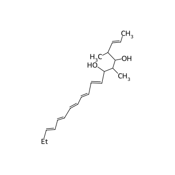 C/C=C/C(C)C(O)C(C)C(O)/C=C/C=C/C=C/C=C/C=C/CC